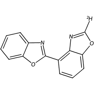 [2H]c1nc2c(-c3nc4ccccc4o3)cccc2o1